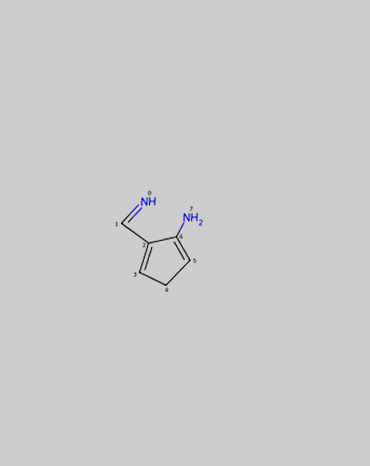 N=CC1=CCC=C1N